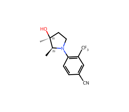 C[C@@H]1N(c2ccc(C#N)cc2C(F)(F)F)CC[C@]1(C)O